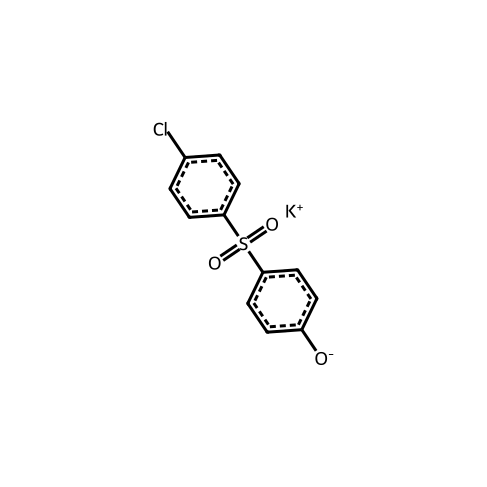 O=S(=O)(c1ccc([O-])cc1)c1ccc(Cl)cc1.[K+]